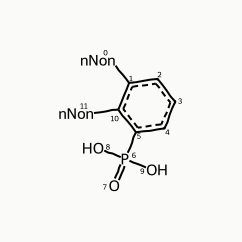 CCCCCCCCCc1cccc(P(=O)(O)O)c1CCCCCCCCC